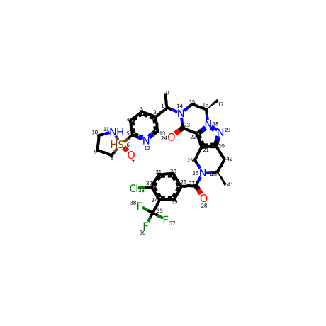 CC(c1ccc([SH]2(=O)CCCN2)nc1)N1C[C@@H](C)n2nc3c(c2C1=O)CN(C(=O)c1ccc(Cl)c(C(F)(F)F)c1)[C@H](C)C3